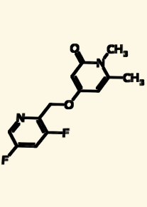 Cc1cc(OCc2ncc(F)cc2F)cc(=O)n1C